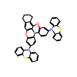 c1ccc2c(c1)Sc1ccccc1N2c1ccc2c(c1)Oc1cc3c(c4c1B2c1ccc(N2c5ccccc5Sc5ccccc52)cc1O4)CCCC3